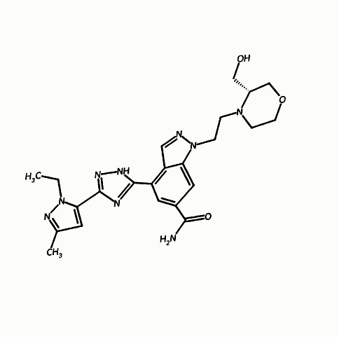 CCn1nc(C)cc1-c1n[nH]c(-c2cc(C(N)=O)cc3c2cnn3CCN2CCOC[C@H]2CO)n1